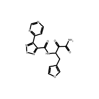 NC(=O)C(=O)C(Cc1ccoc1)NC(=O)c1nsnc1-c1ccncn1